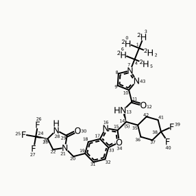 [2H]C([2H])([2H])C([2H])([2H])n1ccc(C(=O)N[C@H](c2nc3cc(CN4C[C@@H](C(F)(F)F)NC4=O)ccc3o2)C2CCC(F)(F)CC2)n1